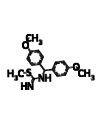 COc1ccc(C(NC(=N)SC)c2ccc(OC)cc2)cc1